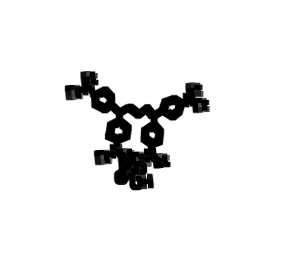 CCN(CC)c1ccc(C(=CC=CC(c2ccc(N(CC)CC)cc2)c2ccc(N(CC)CC)cc2)c2ccc(N(CC)CC)cc2)cc1.[O-][Cl+3]([O-])([O-])O